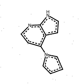 c1ccn(-c2ccnc3[nH]ccc23)c1